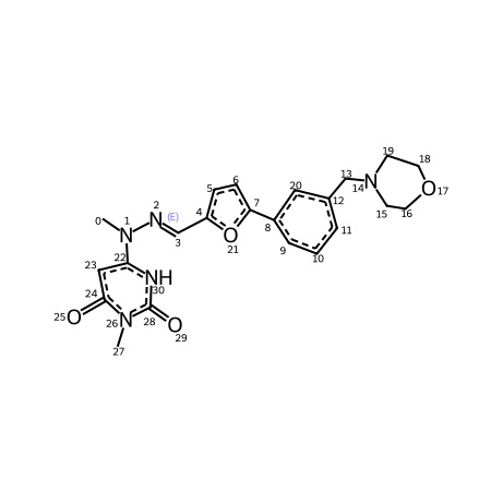 CN(/N=C/c1ccc(-c2cccc(CN3CCOCC3)c2)o1)c1cc(=O)n(C)c(=O)[nH]1